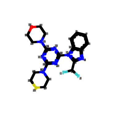 FC(F)c1nc2ccccc2n1-c1nc(N2CCOCC2)nc(N2CCSCC2)n1